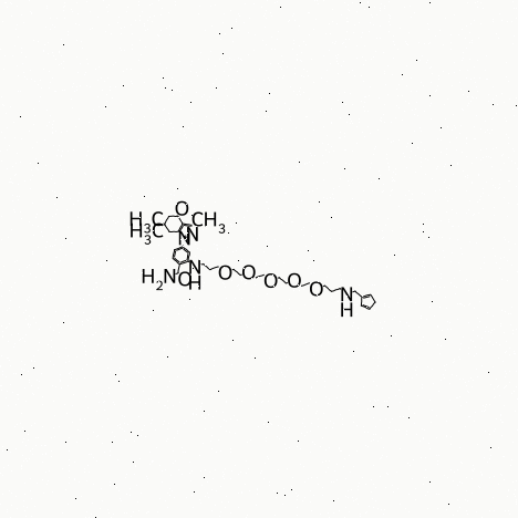 Cc1nn(-c2ccc(C(N)=O)c(NCCCOCCOCCOCCOCCOCCCNCC3=CCC=C3)c2)c2c1C(=O)CC(C)(C)C2